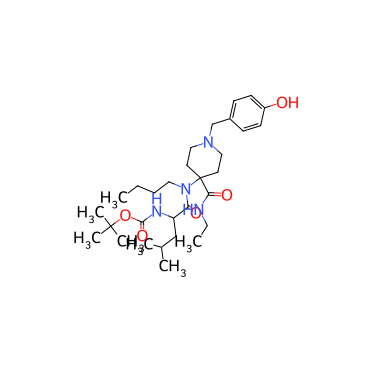 CCCCN(C(=O)C(CC(C)C)NC(=O)OC(C)(C)C)C1(C(=O)NCC)CCN(Cc2ccc(O)cc2)CC1